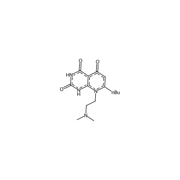 CCCCc1cc(=O)c2c(=O)[nH]c(=O)[nH]c2n1CCN(C)C